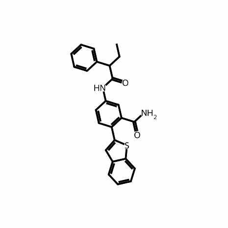 CCC(C(=O)Nc1ccc(-c2cc3ccccc3s2)c(C(N)=O)c1)c1ccccc1